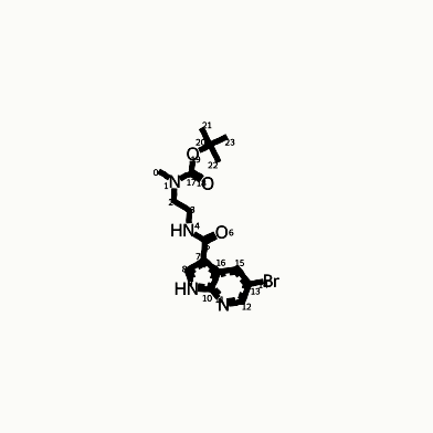 CN(CCNC(=O)c1c[nH]c2ncc(Br)cc12)C(=O)OC(C)(C)C